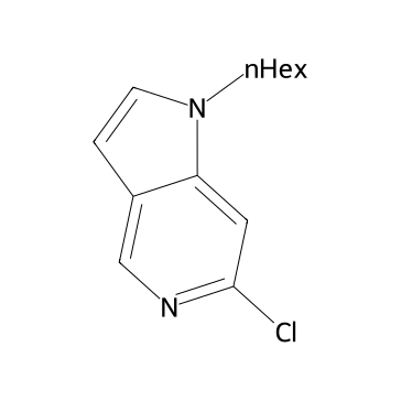 CCCCCCn1ccc2cnc(Cl)cc21